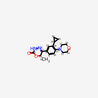 C[C@@H]1OC(=O)NN=C1c1ccc(N2CCOCC2)c(C2CC2)c1